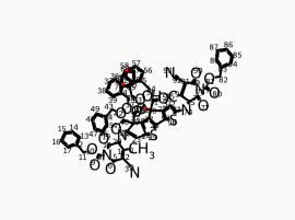 CC1=C(C#N)C(=O)N(C(=O)OCc2ccccc2)C(=O)/C1=N/C1=Cc2sc3c(c2C1(C(=O)OCc1ccccc1)C(=O)OCc1ccccc1)C(C(=O)OCc1ccccc1)(C(=O)OCc1ccccc1)c1cc(/N=C2/C(=O)N(C(=O)OCc4ccccc4)C(=O)C(C#N)=C2C)sc1-3